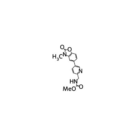 COC(=O)NCc1ccc(-c2ccc3oc(=O)n(C)c3c2)cn1